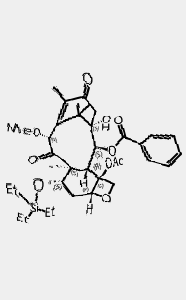 CC[Si](CC)(CC)O[C@H]1C[C@H]2OC[C@@]2(OC(C)=O)[C@H]2[C@H](OC(=O)c3ccccc3)[C@]3(O)CC(=O)C(C)=C([C@@H](OC)C(=O)[C@]12C)C3(C)C